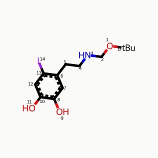 CC(C)(C)OCNCCc1cc(O)c(O)cc1I